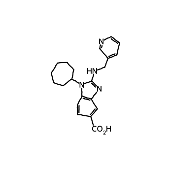 O=C(O)c1ccc2c(c1)nc(NCc1cccnc1)n2C1CCCCCC1